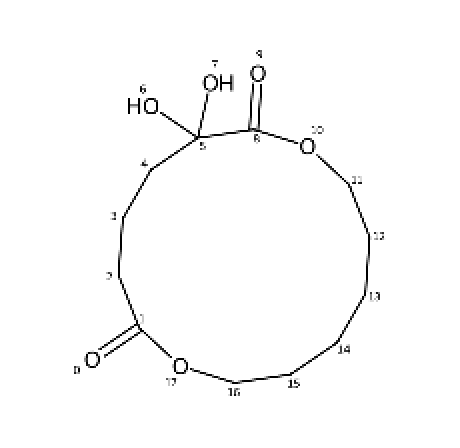 O=C1CCCC(O)(O)C(=O)OCCCCCCO1